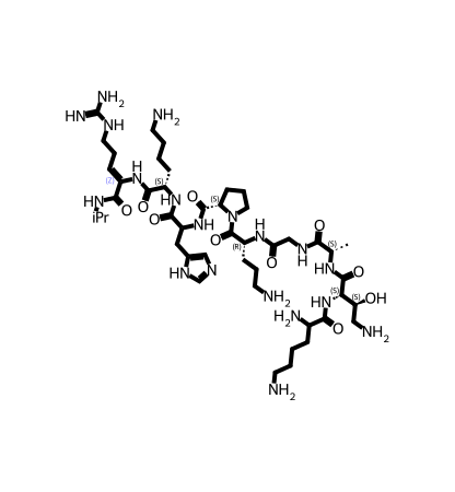 CC(C)NC(=O)/C(=C/CCNC(=N)N)NC(=O)[C@H](CCCCN)NC(=O)C(Cc1cnc[nH]1)NC(=O)[C@@H]1CCCN1C(=O)[C@@H](CCCN)NC(=O)CNC(=O)[C@H](C)NC(=O)[C@@H](NC(=O)C(N)CCCCN)[C@@H](O)CN